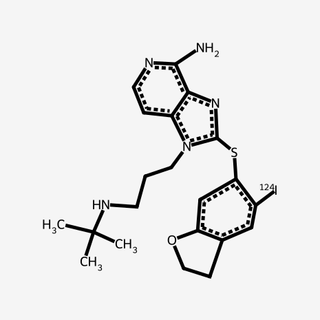 CC(C)(C)NCCCn1c(Sc2cc3c(cc2[124I])CCO3)nc2c(N)nccc21